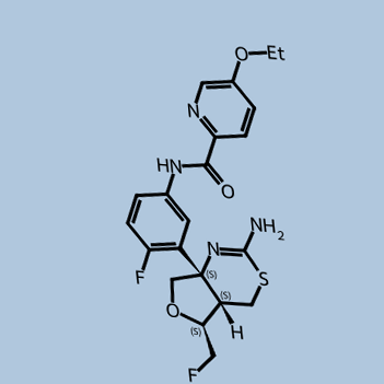 CCOc1ccc(C(=O)Nc2ccc(F)c([C@]34CO[C@H](CF)[C@H]3CSC(N)=N4)c2)nc1